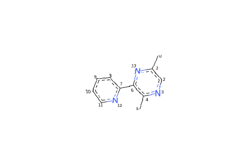 Cc1cnc(C)c(-c2ccccn2)n1